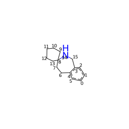 c1ccc2c(c1)CCC1(CCCCC1)NC2